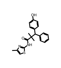 Cc1csc(NC(=O)C(C)(C)C(c2ccccc2)c2ccc(O)cc2)n1